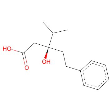 CC(C)[C@](O)(CCc1ccccc1)CC(=O)O